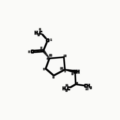 COC(=O)[C@H]1CC[C@H](NC(C)C)C1